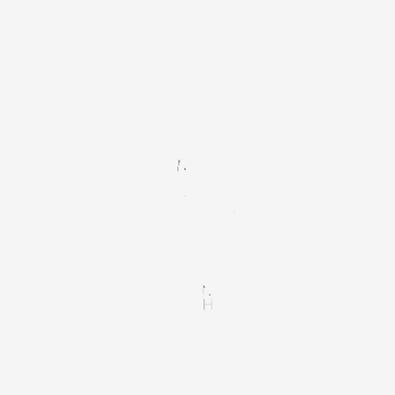 C1=CCN(C2CCNCC2)C1